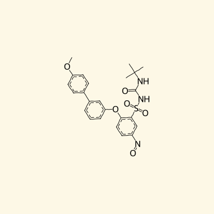 COc1ccc(-c2cccc(Oc3ccc(N=O)cc3S(=O)(=O)NC(=O)NC(C)(C)C)c2)cc1